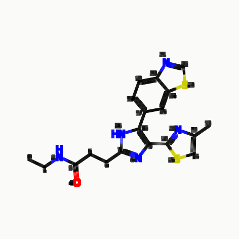 CCNC(=O)CCc1nc(-c2nc(C)cs2)c(-c2ccc3ncsc3c2)[nH]1